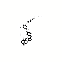 CCCCCCCCCCCCCCCC(=O)OCC1OC(OCC2=C(C)CC(C(C)C3CCC4C5CC6OC67C(O)C=CC(=O)C7(C)C5CCC34C)OC2=O)C(O)C(O)C1O